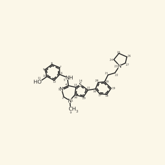 CN1CN=C(Nc2cccc(O)c2)c2sc(-c3cccc(CCN4CCCC4)c3)cc21